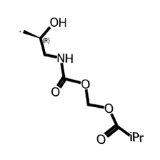 [CH2][C@@H](O)CNC(=O)OCOC(=O)C(C)C